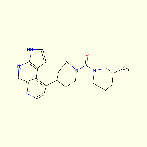 O=C(N1CCC(c2ccnc3cnc4[nH]ccc4c23)CC1)N1CCCC(C(F)(F)F)C1